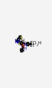 CCC(C(=O)O)c1ccc(NCc2ccc(Sc3nnc(Cc4ccsc4)n3C)cc2OCCc2ccccc2)cc1